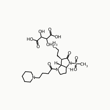 CCC[C@H]1C(=O)N(S(C)(=O)=O)[C@H]2CCN(C(=O)CCCN3CCCCC3)[C@H]12.O=C(O)C(O)C(O)C(=O)O